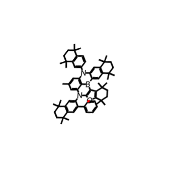 Cc1cc2c3c(c1)N(c1cc4c(cc1-c1ccccc1)C(C)(C)CCC4(C)C)c1oc4c(c1B3c1cc3c(cc1N2c1ccc2c(c1)C(C)(C)CCC2(C)C)C(C)(C)CCC3(C)C)C(C)(C)CCC4(C)C